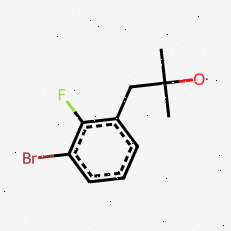 CC(C)([O])Cc1cccc(Br)c1F